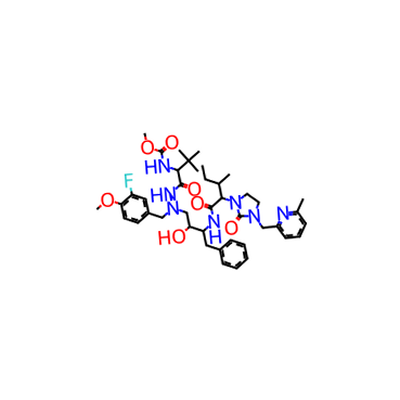 CCC(C)C(C(=O)NC(Cc1ccccc1)C(O)CN(Cc1ccc(OC)c(F)c1)NC(=O)C(NC(=O)OC)C(C)(C)C)N1CCN(Cc2cccc(C)n2)C1=O